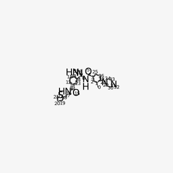 Cc1cc(C(=O)Nc2n[nH]c3ccc(C(=O)NCc4cccs4)cc23)ccc1N1CCN(C)CC1